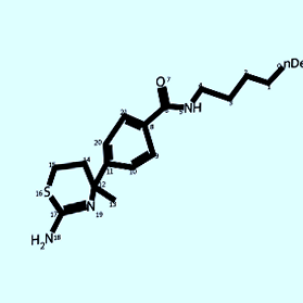 CCCCCCCCCCCCCCNC(=O)c1ccc(C2(C)CCSC(N)=N2)cc1